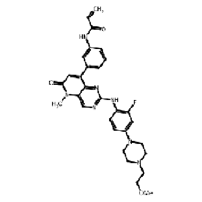 C=CC(=O)Nc1cccc(-c2cc(=O)n(C)c3cnc(Nc4ccc(N5CCN(CCOC)CC5)cc4F)nc23)c1